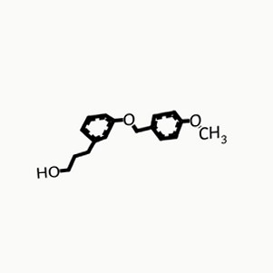 COc1ccc(COc2cccc(CCCO)c2)cc1